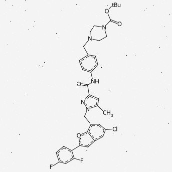 Cc1cc(C(=O)Nc2ccc(CN3CCN(C(=O)OC(C)(C)C)CC3)cc2)nn1Cc1cc(Cl)cc2cc(-c3ccc(F)cc3F)oc12